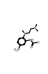 CCC(=O)Nc1cc([N+](=O)[O-])ccc1N(C)CCN(C)C